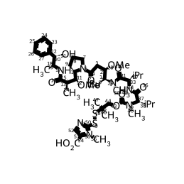 CC[C@H](C)[C@@H]([C@@H](CC(=O)N1CCC[C@H]1[C@H](OC)[C@@H](C)C(=O)N[C@H](C)[C@@H](O)c1ccccc1)OC)N(C)C(=O)[C@@H](NC(=O)[C@H](C(C)C)N(C)C(=O)OCC(C)(C)SSc1ncc(C(=O)O)n1C)C(C)C